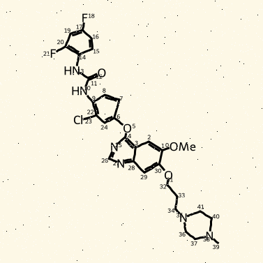 COc1cc2c(Oc3ccc(NC(=O)Nc4ccc(F)cc4F)c(Cl)c3)ncnc2cc1OCCCN1CCN(C)CC1